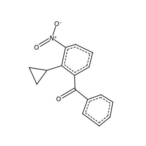 O=C(c1ccccc1)c1cccc([N+](=O)[O-])c1C1CC1